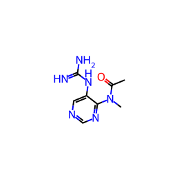 CC(=O)N(C)c1ncncc1NC(=N)N